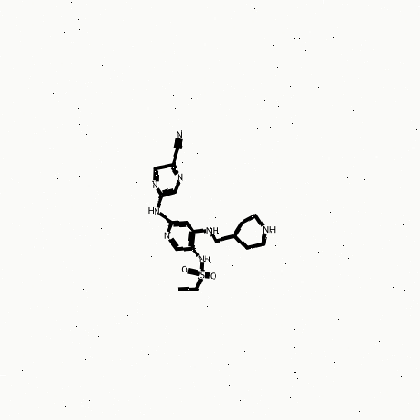 CCS(=O)(=O)Nc1cnc(Nc2cnc(C#N)cn2)cc1NCC1CCNCC1